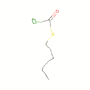 CCCCSC(=O)Cl